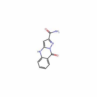 NC(=O)c1cc2[nH]c3ccccc3c(=O)n2n1